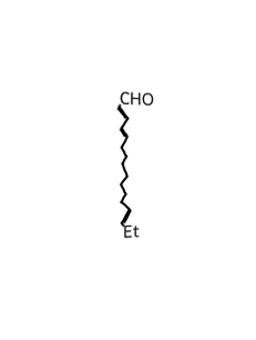 CCC=CCCCCCCCC=CC=CC=O